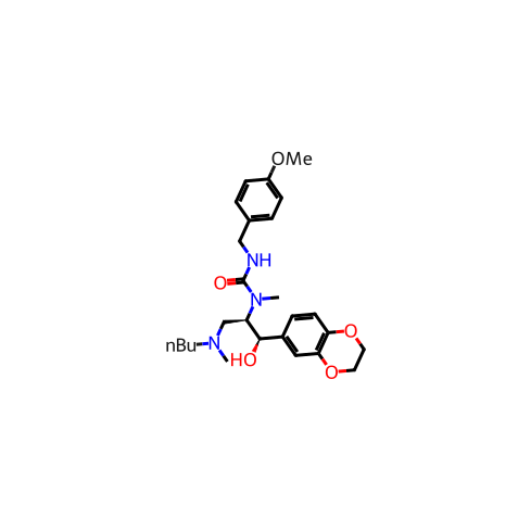 CCCCN(C)C[C@H]([C@H](O)c1ccc2c(c1)OCCO2)N(C)C(=O)NCc1ccc(OC)cc1